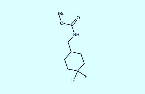 CC(C)(C)OC(=O)NCC1CCC(F)(F)CC1